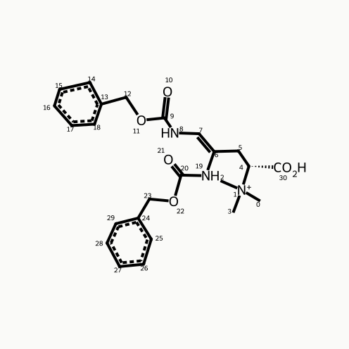 C[N+](C)(C)[C@H](C/C(=C/NC(=O)OCc1ccccc1)NC(=O)OCc1ccccc1)C(=O)O